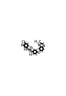 Cc1cnc2ccc(Oc3ccc(NC(=O)Nc4ccc(Cl)c(F)c4)cc3)cc2n1